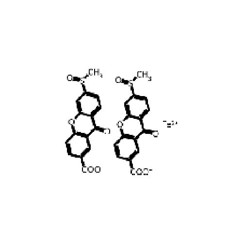 CS(=O)c1ccc2c(=O)c3cc(C(=O)[O-])ccc3oc2c1.CS(=O)c1ccc2c(=O)c3cc(C(=O)[O-])ccc3oc2c1.[Fe+2]